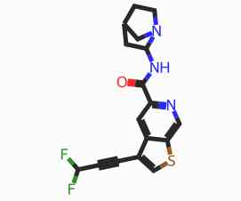 O=C(NC1CC2CCN1C2)c1cc2c(C#CC(F)F)csc2cn1